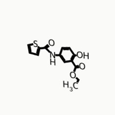 CCOC(=O)c1cc(NC(=O)c2cccs2)ccc1O